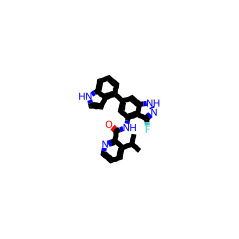 CC(C)c1cccnc1C(=O)Nc1cc(-c2cccc3[nH]ccc23)cc2[nH]nc(F)c12